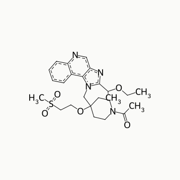 CCOC(C)c1nc2cnc3ccccc3c2n1CC1(OCCS(C)(=O)=O)CCN(C(C)=O)CC1